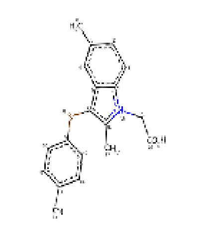 Cc1ccc2c(c1)c(Sc1ccc(C#N)cc1)c(C)n2CC(=O)O